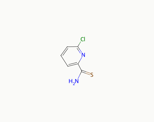 NC(=S)c1cccc(Cl)n1